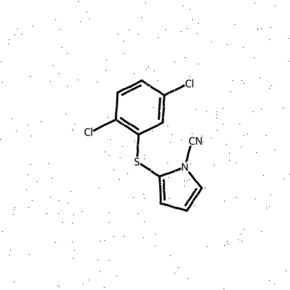 N#Cn1[c]ccc1Sc1cc(Cl)ccc1Cl